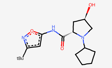 CC(C)(C)c1cc(NC(=O)[C@@H]2C[C@@H](O)CN2C2CCCC2)on1